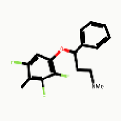 CNCCC(Oc1cc(F)c(C)c(F)c1F)c1ccccc1